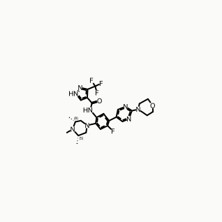 C[C@@H]1CN(c2cc(F)c(-c3cnc(N4CCOCC4)nc3)cc2NC(=O)c2c[nH]nc2C(F)(F)F)C[C@H](C)N1C